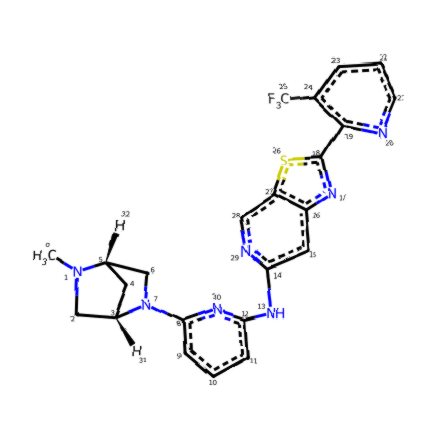 CN1C[C@@H]2C[C@H]1CN2c1cccc(Nc2cc3nc(-c4ncccc4C(F)(F)F)sc3cn2)n1